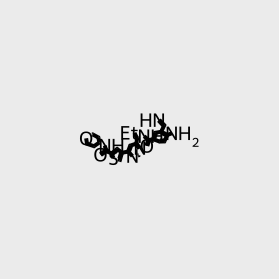 CCC(NC(=O)c1ccc(N)c(C=N)c1)c1cc(-c2csc(C(=O)NC3CCOCC3)c2)ncn1